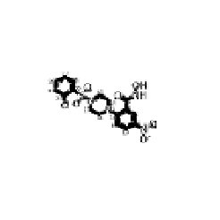 O=C(NO)c1cc([N+](=O)[O-])ccc1N1CCN(S(=O)(=O)c2ccccc2Cl)CC1